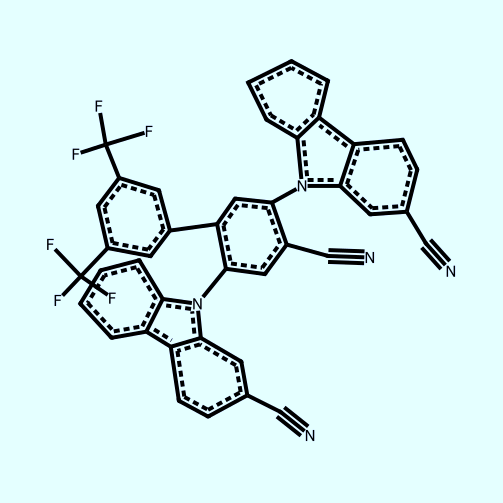 N#Cc1ccc2c3ccccc3n(-c3cc(-c4cc(C(F)(F)F)cc(C(F)(F)F)c4)c(-n4c5ccccc5c5ccc(C#N)cc54)cc3C#N)c2c1